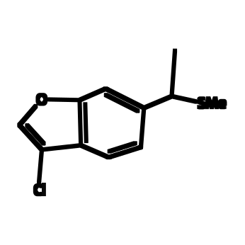 CSC(C)c1ccc2c(Cl)coc2c1